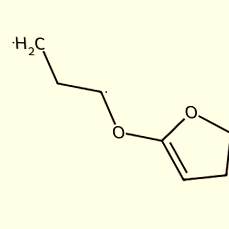 [CH2]C[CH]OC1=CCCO1